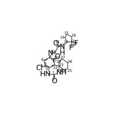 O=C1Nc2c(Cl)cc3nc(C(=O)NC4CCCC4(F)F)oc3c2C2(CCCCC2)N1